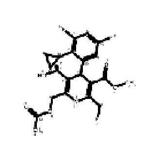 COC(=O)C1=C(CF)NC(COC(C)=O)=C(C(=O)O)C1c1cc(F)cc(F)c1C1CC1